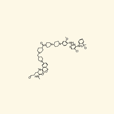 CNC(=O)C(CCC=O)N(C)C(=O)c1cc(N2CCC(CN3CCC(C(=O)N4CCN(C5CCN(c6ccc(Nc7ncc(Cl)c(Nc8ccccc8P(C)(C)=O)n7)c(OC)c6)CC5)CC4)CC3)CC2)ccc1C=O